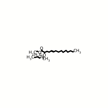 CCCCCCCCCC=CCCC(O[Si](C)(C)CCCC)C(=O)OCC